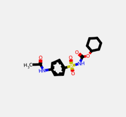 CC(=O)Nc1ccc(S(=O)(=O)NC(=O)OC2CCCCC2)cc1